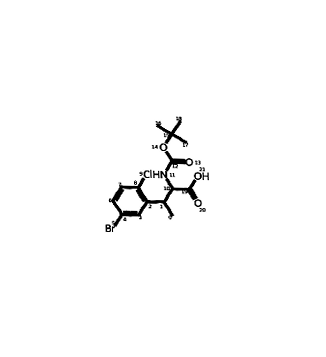 CC(c1cc(Br)ccc1Cl)C(NC(=O)OC(C)(C)C)C(=O)O